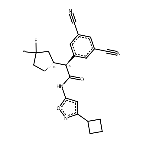 N#Cc1cc(C#N)cc([C@@H](C(=O)Nc2cc(C3CCC3)no2)[C@@H]2CCC(F)(F)C2)c1